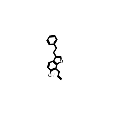 C=CCc1c(O)ccc2c(CCc3ccccc3)coc12